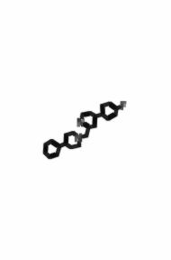 Fc1ccc(-c2ccnc(CN3CC=C(c4ccccc4)CC3)c2)cc1